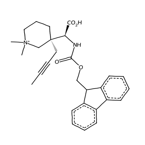 CC#CC[C@@]1([C@H](NC(=O)OCC2c3ccccc3-c3ccccc32)C(=O)O)CCC[N+](C)(C)C1